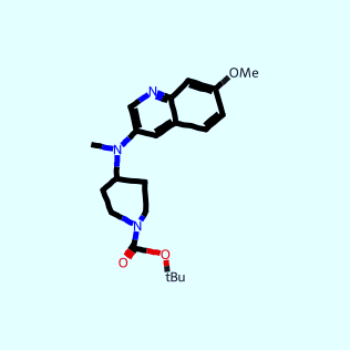 COc1ccc2cc(N(C)C3CCN(C(=O)OC(C)(C)C)CC3)cnc2c1